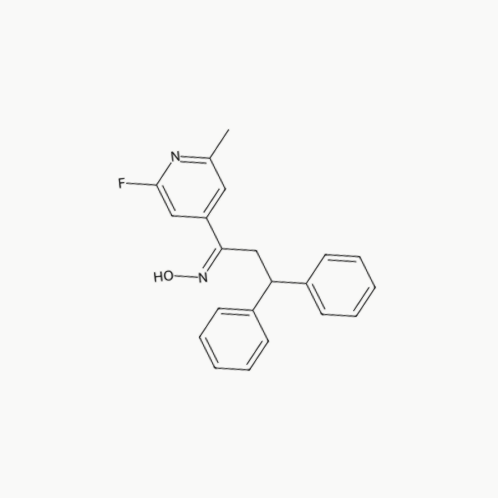 Cc1cc(/C(CC(c2ccccc2)c2ccccc2)=N\O)cc(F)n1